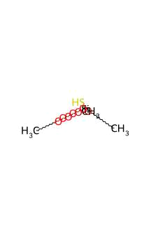 CCCCCCCCCCCCCCCCCOC[Si](C)(CCCS)OCCOCCOCCOCCOCCOCCCCCCCCCCCCC